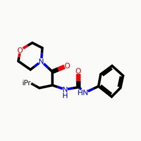 CC(C)CC(NC(=O)Nc1ccccc1)C(=O)N1CCOCC1